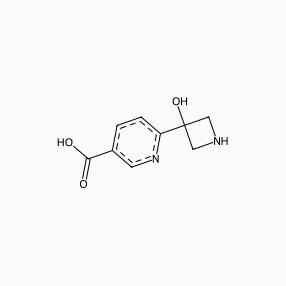 O=C(O)c1ccc(C2(O)CNC2)nc1